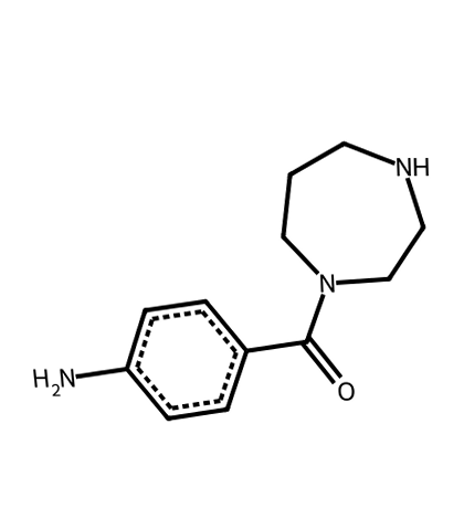 Nc1ccc(C(=O)N2CCCNCC2)cc1